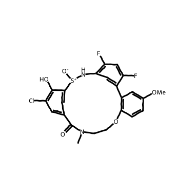 COc1ccc2c(c1)-c1cc(c(F)cc1F)N[S+]([O-])c1cc(cc(Cl)c1O)C(=O)N(C)CCO2